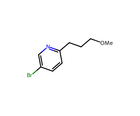 COCCCc1ccc(Br)cn1